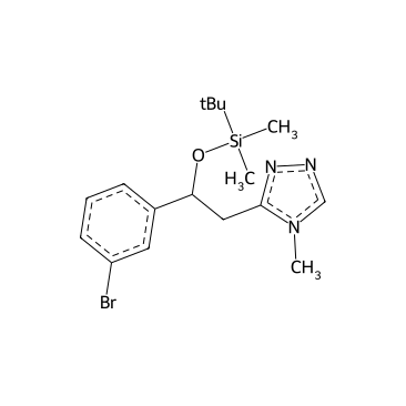 Cn1cnnc1CC(O[Si](C)(C)C(C)(C)C)c1cccc(Br)c1